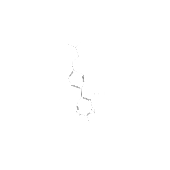 CC(C)CCc1ccc(-c2cnc(O)nc2O)cc1